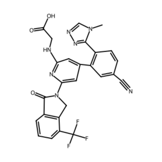 Cn1cnnc1-c1ccc(C#N)cc1-c1cc(NCC(=O)O)nc(N2Cc3c(cccc3C(F)(F)F)C2=O)c1